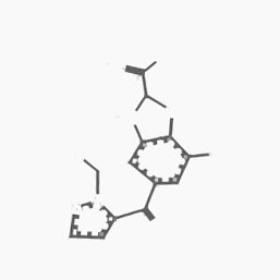 CCn1nccc1C(=O)c1cc(Cl)c2c(c1)OC(C(=O)O)O2